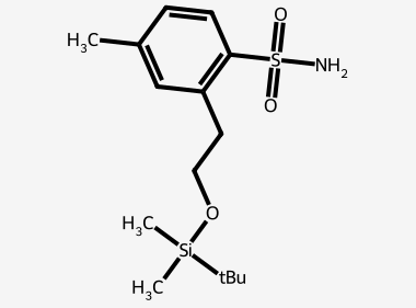 Cc1ccc(S(N)(=O)=O)c(CCO[Si](C)(C)C(C)(C)C)c1